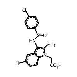 Cc1c(N[S+]([O-])c2ccc(Cl)cc2)c2cc(Cl)ccc2n1CC(=O)O